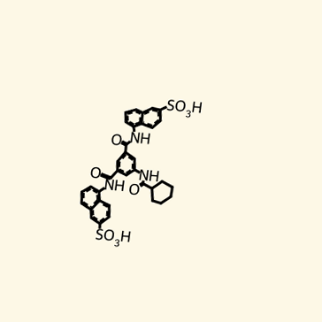 O=C(Nc1cccc2cc(S(=O)(=O)O)ccc12)c1cc(NC(=O)C2CCCCC2)cc(C(=O)Nc2cccc3cc(S(=O)(=O)O)ccc23)c1